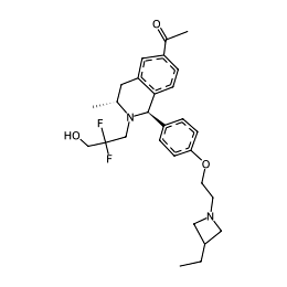 CCC1CN(CCOc2ccc([C@@H]3c4ccc(C(C)=O)cc4C[C@@H](C)N3CC(F)(F)CO)cc2)C1